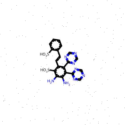 Nc1c(N)c(S(=O)(=O)O)c(C=Cc2ccccc2S(=O)(=O)O)c(-c2ncncn2)c1-c1ncncn1